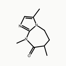 Cc1cnc2n1CCC(C)C(=O)N2C